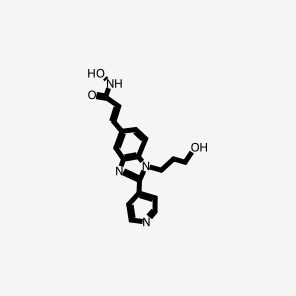 O=C(C=Cc1ccc2c(c1)nc(-c1ccncc1)n2CCCO)NO